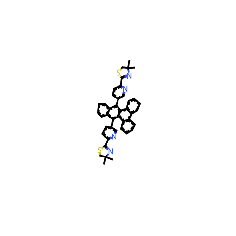 CC1(C)CSC(c2ccc(-c3c4ccccc4c(-c4ccc(C5=NC(C)(C)CS5)nc4)c4c5ccccc5c5ccccc5c34)cn2)=N1